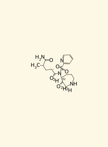 [2H]C1([2H])NCCC[C@]([2H])(N(C(=O)[CH]CC(C)C(N)=O)S(=O)(=O)c2ccccn2)C1=O